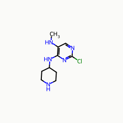 CNc1cnc(Cl)nc1NC1CCNCC1